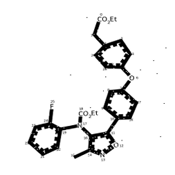 CCOC(=O)Cc1ccc(Oc2ccc(-c3onc(C)c3N(C(=O)OCC)c3ccccc3F)cc2)cc1